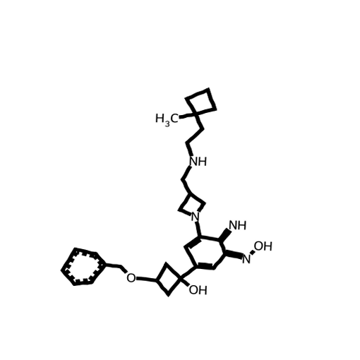 CC1(CCNCC2CN(C3=CC(C4(O)CC(OCc5ccccc5)C4)=C/C(=N/O)C3=N)C2)CCC1